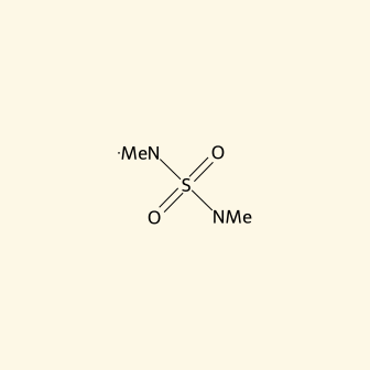 C[N]S(=O)(=O)NC